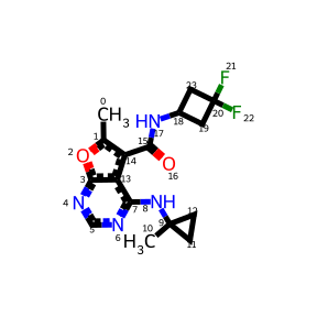 Cc1oc2ncnc(NC3(C)CC3)c2c1C(=O)NC1CC(F)(F)C1